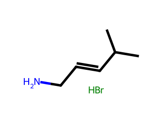 Br.CC(C)C=CCN